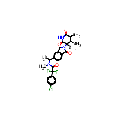 BC1C(=O)NC(=O)C(B)(N2Cc3cc(C(B)N(B)C(=O)C(F)(F)c4ccc(Cl)cc4)ccc3C2=O)C1B